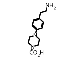 NCCc1ccc(N2CCN(C(=O)O)CC2)cc1